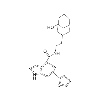 O=C(NCCC1CC2CCCC(O)(C2)C1)c1cc(-c2cncs2)cc2[nH]ccc12